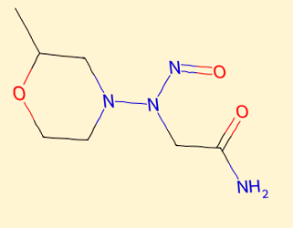 CC1CN(N(CC(N)=O)N=O)CCO1